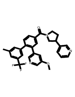 COc1cncc(-c2cc(C(=O)N3CCC(c4cccnc4)C3)ccc2-c2cc(C)cc(C(F)(F)F)c2)c1